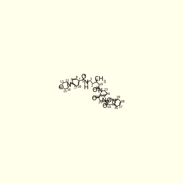 CC(CCNC(=O)c1ccc(N2CCOCC2)cc1)CC(=O)N1CCC2C1C(=O)CN2S(=O)(=O)Cc1ccccn1